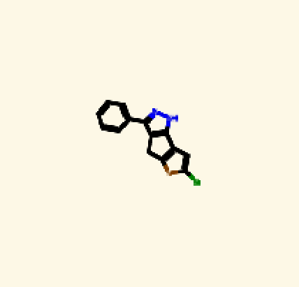 Brc1cc2c(s1)Cc1c(-c3ccccc3)n[nH]c1-2